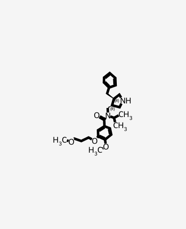 COCCCOc1cc(C(=O)N(C[C@H]2CNC[C@@H]2Cc2ccccc2)C(C)C)ccc1OC